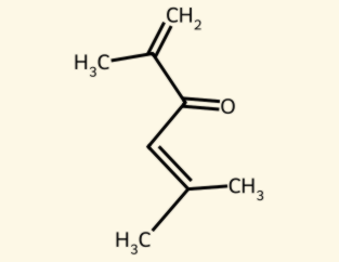 C=C(C)C(=O)C=C(C)C